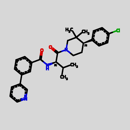 CC(C)[C@@H](NC(=O)c1cccc(-c2cccnc2)c1)C(=O)N1CC[C@H](c2ccc(Cl)cc2)C(C)(C)C1